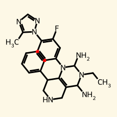 CCN1C(N)C2=C(C(c3ccccc3)CNC2)N(c2ccc(-n3ncnc3C)c(F)c2)C1N